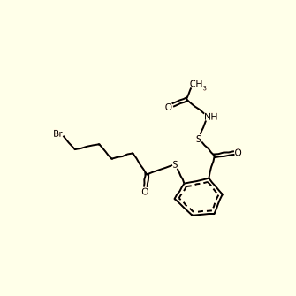 CC(=O)NSC(=O)c1ccccc1SC(=O)CCCCBr